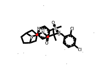 CC(C)(Sc1ccc(Cl)cc1Cl)C(=O)NC1CC2CCC(C1)N2c1ccc(S(C)(=O)=O)cn1